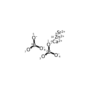 [Ca+2].[O-]B([O-])[O-].[O-]B([O-])[O-].[Sr+2].[Zn+2]